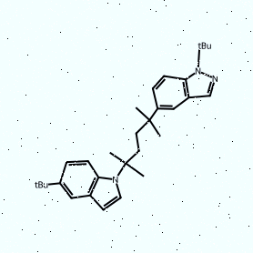 CC(C)(C)c1ccc2c(ccn2C(C)(C)CCC(C)(C)c2ccc3c(cnn3C(C)(C)C)c2)c1